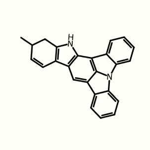 CC1C=Cc2c([nH]c3c2cc2c4ccccc4n4c5ccccc5c3c24)C1